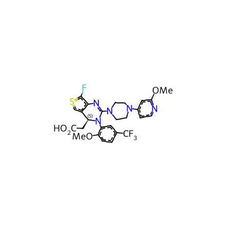 COc1cc(N2CCN(C3=Nc4c(csc4F)[C@H](CC(=O)O)N3c3cc(C(F)(F)F)ccc3OC)CC2)ccn1